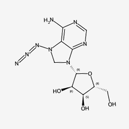 [N-]=[N+]=NN1CN([C@@H]2O[C@H](CO)[C@@H](O)[C@H]2O)c2ncnc(N)c21